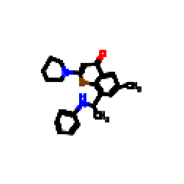 Cc1cc(C(C)Nc2ccccc2)c2sc(N3CCCCC3)cc(=O)c2c1